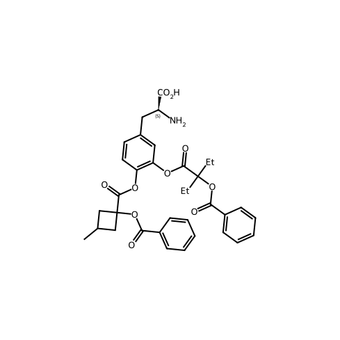 CCC(CC)(OC(=O)c1ccccc1)C(=O)Oc1cc(C[C@H](N)C(=O)O)ccc1OC(=O)C1(OC(=O)c2ccccc2)CC(C)C1